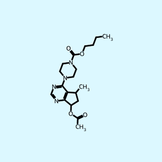 CCCCOC(=O)N1CCN(c2ncnc3c2C(C)CC3OC(C)=O)CC1